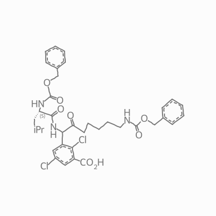 CC(C)C[C@H](NC(=O)OCc1ccccc1)C(=O)NC(C(=O)CCCCCNC(=O)OCc1ccccc1)c1cc(Cl)cc(C(=O)O)c1Cl